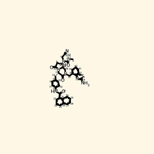 CNC(=O)N(CC#N)N1CC(=O)N2[C@@H](Cc3ccc(NC(=O)c4cccc5ccccc45)cc3)C(=O)N(Cc3cccc4sc(N)nc34)C[C@@H]21